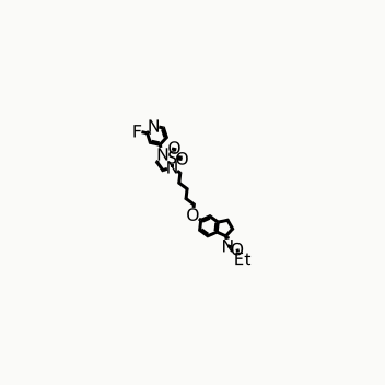 CCO/N=C1\CCc2cc(OCCCCCN3CCN(c4ccnc(F)c4)S3(=O)=O)ccc21